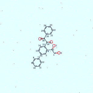 O=CC(=O)c1cc(-c2ccccc2)ccc1C(=O)C(=O)c1ccccc1